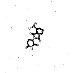 CC(C)C(C)c1cccc2c1C(=O)N([C@@H]1CCC(=O)NC1=O)C2=O